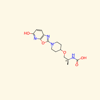 C[C@@H](COC1CCN(c2nc3ccc(O)nc3o2)CC1)NC(=O)O